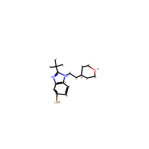 CC(C)(C)c1nc2cc(S)ccc2n1CCC1CCOCC1